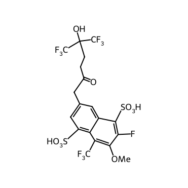 COc1c(F)c(S(=O)(=O)O)c2cc(CC(=O)CCC(O)(C(F)(F)F)C(F)(F)F)cc(S(=O)(=O)O)c2c1C(F)(F)F